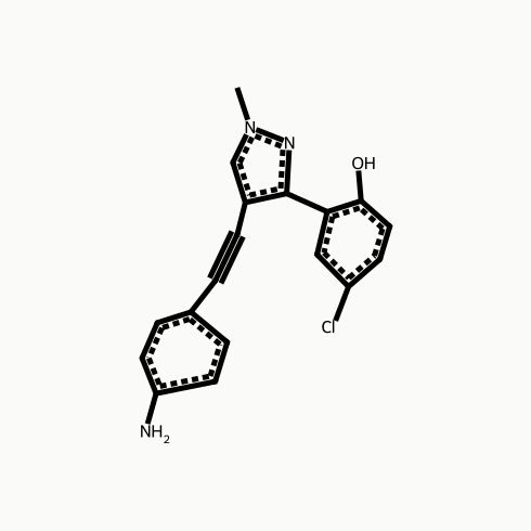 Cn1cc(C#Cc2ccc(N)cc2)c(-c2cc(Cl)ccc2O)n1